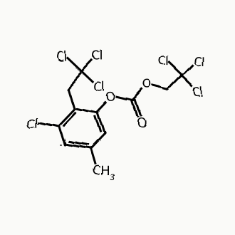 Cc1[c]c(Cl)c(CC(Cl)(Cl)Cl)c(OC(=O)OCC(Cl)(Cl)Cl)c1